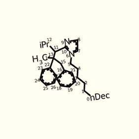 CCCCCCCCCCCCCCCn1ccnc1C(C(C)C)C(C)(Cc1ccccc1)c1ccccc1